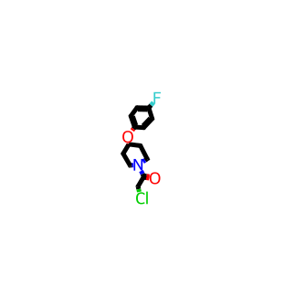 O=C(CCl)N1CCC(Oc2ccc(F)cc2)CC1